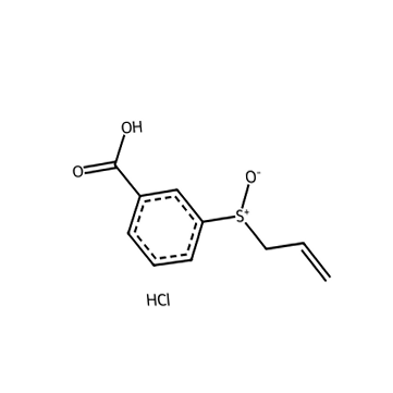 C=CC[S+]([O-])c1cccc(C(=O)O)c1.Cl